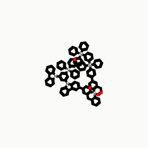 c1ccc([Si](c2ccccc2)(c2ccccc2)c2cc(-n3c4ccccc4c4ccccc43)cc(-n3c4ccccc4c4cc(-c5ccc6c(c5)Cc5ccccc5[Si]65c6ccccc6Cc6cc(-c7ccc([Si](c8ccccc8)(c8ccccc8)c8cccc([Si](c9ccccc9)(c9ccccc9)c9ccccc9)c8)cc7)ccc65)ccc43)c2)cc1